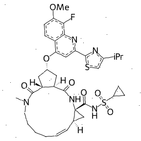 COc1ccc2c(O[C@@H]3C[C@H]4C(=O)N[C@]5(C(=O)NS(=O)(=O)C6CC6)C[C@H]5/C=C\CCCCN(C)C(=O)[C@@H]4C3)cc(-c3nc(C(C)C)cs3)nc2c1F